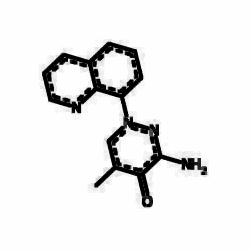 Cc1cn(-c2cccc3cccnc23)nc(N)c1=O